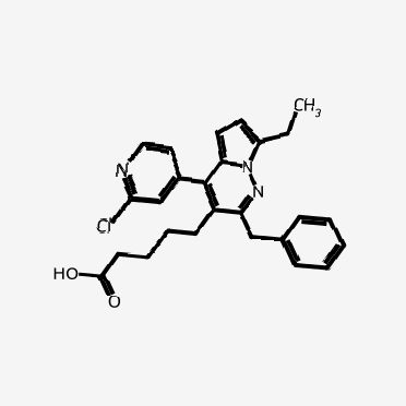 CCc1ccc2c(-c3ccnc(Cl)c3)c(CCCCC(=O)O)c(Cc3ccccc3)nn12